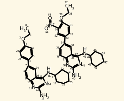 CCOc1ccc(-c2ccc3nc(N)nc(NC4CCCCC4)c3c2)cc1.CCOc1ccc(-c2ccc3nc(N)nc(NC4CCCCC4)c3c2)cc1[N+](=O)[O-]